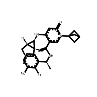 C[C@H](NC(=O)c1cn(C23CC(C2)C3)c(=O)cc1N[C@H]1[C@@H]2CN(C)C[C@@H]21)c1cccc(C#N)c1Cl